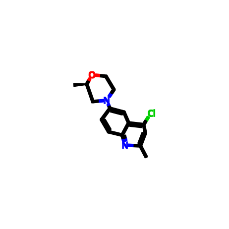 Cc1cc(Cl)c2cc(N3CCO[C@H](C)C3)ccc2n1